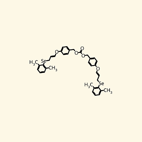 Cc1cccc(C)c1[Se]CC=COc1ccc(COC(=O)OCc2ccc(OC=CC[Se]c3c(C)cccc3C)cc2)cc1